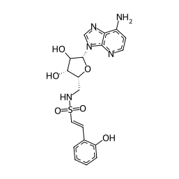 Nc1ccnc2c1ncn2[C@@H]1O[C@H](CNS(=O)(=O)/C=C/c2ccccc2O)[C@H](O)C1O